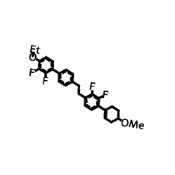 CCOc1ccc(-c2ccc(CCc3ccc(C4=CCC(OC)CC4)c(F)c3F)cc2)c(F)c1F